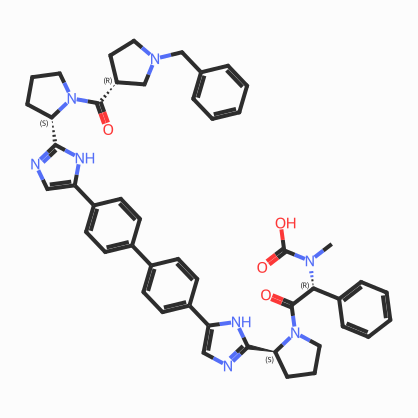 CN(C(=O)O)[C@@H](C(=O)N1CCC[C@H]1c1ncc(-c2ccc(-c3ccc(-c4cnc([C@@H]5CCCN5C(=O)[C@@H]5CCN(Cc6ccccc6)C5)[nH]4)cc3)cc2)[nH]1)c1ccccc1